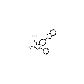 CN1CN(c2ccccc2)C2(CCN(C3Cc4ccccc4C3)CC2)C1=O.Cl